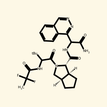 CC(F)(F)C(=O)NC(C(=O)N1C[C@@H]2CCC[C@@H]2[C@H]1C(=O)NC(C(N)=O)c1nncc2ccccc12)C(C)(C)C